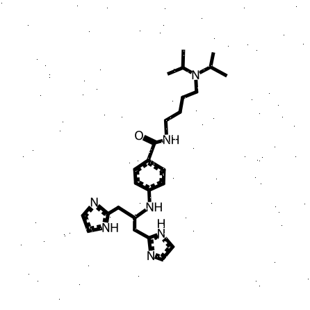 CC(C)N(CCCCNC(=O)c1ccc(NC(Cc2ncc[nH]2)Cc2ncc[nH]2)cc1)C(C)C